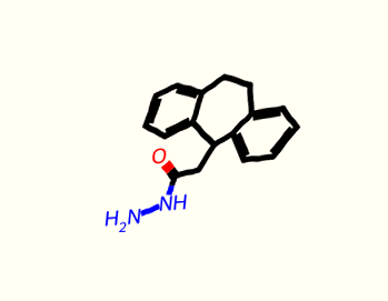 NNC(=O)CC1c2ccccc2CCc2ccccc21